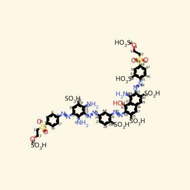 Nc1c(/N=N/c2ccc(S(=O)(=O)CCOS(=O)(=O)O)cc2)cc(S(=O)(=O)O)c(N)c1/N=N/c1ccc(S(=O)(=O)O)c(/N=N/c2c(S(=O)(=O)O)cc3cc(S(=O)(=O)O)c(/N=N/c4ccc(S(=O)(=O)CCOS(=O)(=O)O)cc4S(=O)(=O)O)c(N)c3c2O)c1